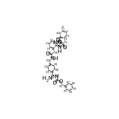 CC1=CC=C(CS(=O)(=O)NC2NC=CC=C2CC(=O)NCc2ccc(C(N)=NC(=O)OCc3ccccc3)cc2)C(=O)C1